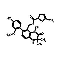 COc1cc(O)ccc1-c1ccc2c(c1COC(=O)C1CC=C(C)S1)N(C)C(=O)C(C)(C)N2